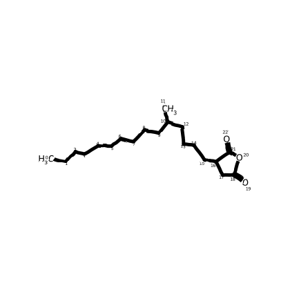 CCCCCCCCCCC(C)CCCCC1CC(=O)OC1=O